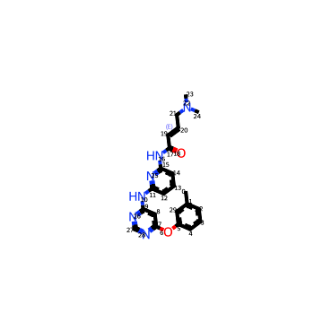 Cc1cccc(Oc2cc(Nc3cccc(NC(=O)/C=C/CN(C)C)n3)ncn2)c1